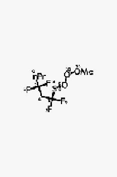 CCCC(F)(F)CC(F)(F)SOOOC